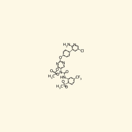 CS(=O)(=O)ON(C(=O)Nc1cc(C(F)(F)F)ccc1S(C)(=O)=O)c1cnc(Oc2ccc(-c3cc(Cl)cnc3N)cc2)nc1